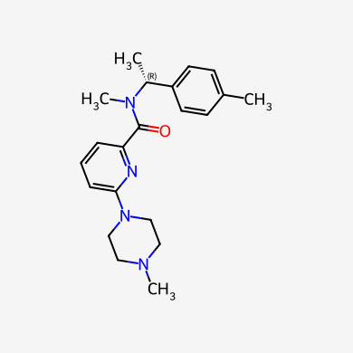 Cc1ccc([C@@H](C)N(C)C(=O)c2cccc(N3CCN(C)CC3)n2)cc1